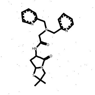 CC1(C)CN2C(=O)C(NC(=O)CN(Cc3ccccn3)Cc3ccccn3)CC2S1